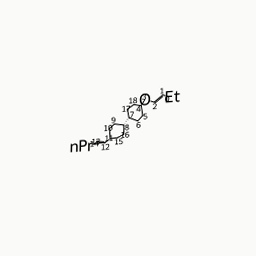 CC/C=C/OC1CCC([C@H]2CC[C@H](/C=C/CCC)CC2)CC1